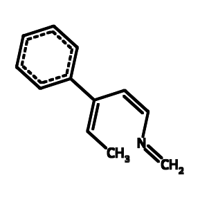 C=N/C=C\C(=C/C)c1ccccc1